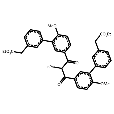 CCCC(C(=O)c1ccc(OC)c(-c2cccc(CC(=O)OCC)c2)c1)C(=O)c1ccc(OC)c(-c2cccc(CC(=O)OCC)c2)c1